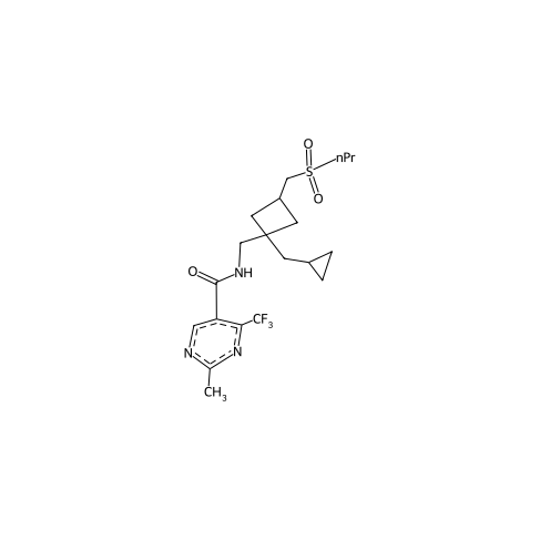 CCCS(=O)(=O)CC1CC(CNC(=O)c2cnc(C)nc2C(F)(F)F)(CC2CC2)C1